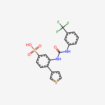 O=C(Nc1cccc(C(F)(F)F)c1)Nc1cc(S(=O)(=O)O)ccc1-c1ccsc1